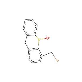 [O-][S+]1c2ccccc2Cc2cccc(CBr)c21